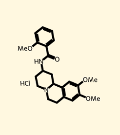 COc1cc2c(cc1OC)C1CC(NC(=O)c3ccccc3OC)CCN1CC2.Cl